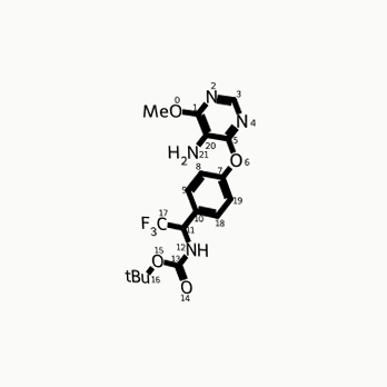 COc1ncnc(Oc2ccc(C(NC(=O)OC(C)(C)C)C(F)(F)F)cc2)c1N